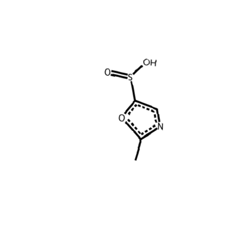 Cc1ncc(S(=O)O)o1